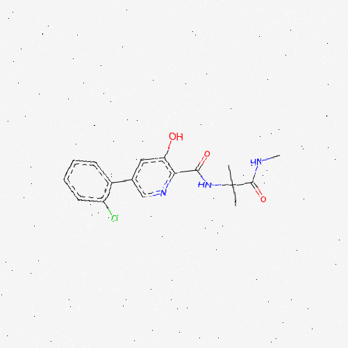 CNC(=O)C(C)(C)NC(=O)c1ncc(-c2ccccc2Cl)cc1O